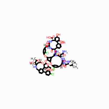 CN[C@H](CC(C)C)C(=O)N[C@H]1C(=O)N[C@@H](CC(N)=O)C(=O)N[C@H]2C(=S)N[C@H]3C(=O)N[C@H](C(=O)N[C@H](C(=O)O)C4=CC(O)CC(O)=C4C4CC3=CC=C4O)[C@H](O)C3=CC=C(Oc4cc2cc(c4O[C@H]2OC(CO)C(O)[C@@H]4c5cc(ccc5-c5ccc(Cl)cc5)CNC5(C)C[C@H](OC24)OC(C)[C@H]5O)OC2=C(Cl)C=C(CC2)[C@H]1O)C(Cl)C3